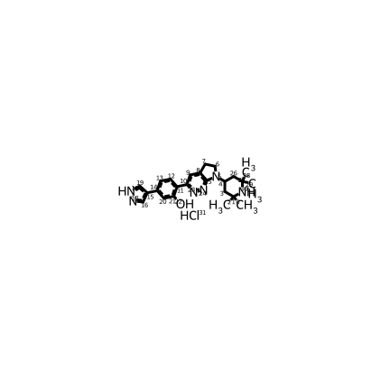 CC1(C)CC(N2CCc3cc(-c4ccc(-c5cn[nH]c5)cc4O)nnc32)CC(C)(C)N1.Cl